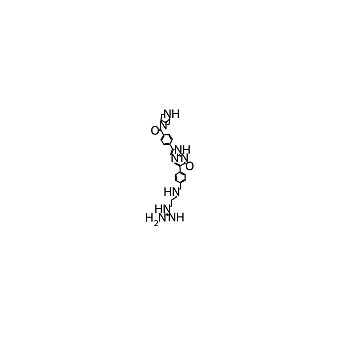 N=C(N)NCCCNCc1ccc(-c2cn3cc(-c4ccc(C(=O)N5CC6CC5CN6)cc4)[nH]c3nc2=O)cc1